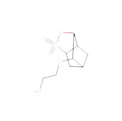 O=S1(=O)OC2C3CC(CC31)C2OCCO